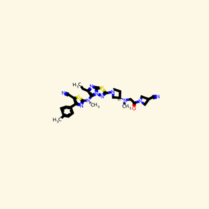 CCc1nc2sc(N3CC[C@H](N(C)CC(=O)N4CC(C#N)C4)C3)nn2c1N(C)c1nc(-c2ccc(C)cc2)c(C#N)s1